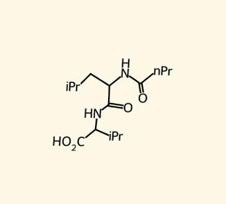 CCCC(=O)NC(CC(C)C)C(=O)NC(C(=O)O)C(C)C